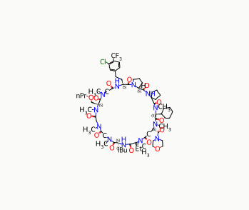 CCCOC[C@H]1C(=O)N(C)CC(=O)N[C@@H](CCc2ccc(C(F)(F)F)c(Cl)c2)C(=O)N2CCC[C@H]2C(=O)NC2(CCCC2)C(=O)N(C)[C@@H](C2CCCCC2)C(=O)N(C)[C@H](C(=O)N2CCOCC2)CC(=O)N(C)[C@@H](CC)C(=O)N[C@@H]([C@@H](C)CC)C(=O)N(C)CC(=O)N(C)CC(=O)N1C